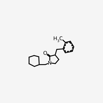 Cc1ccccc1CC1CCN(CC2CCCCC2)C1=O